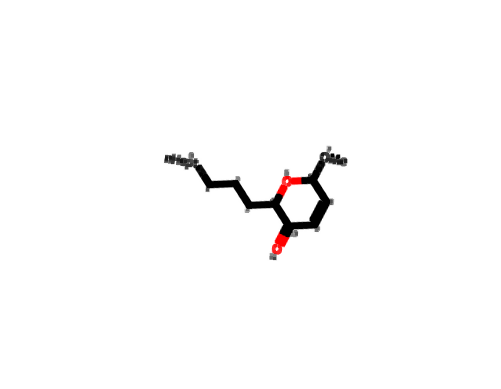 CCCCCCCCCCC1OC(OC)C=CC1=O